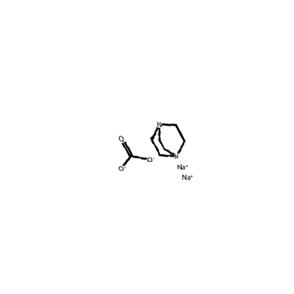 C1CN2CCN1CC2.O=C([O-])[O-].[Na+].[Na+]